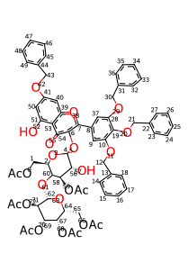 CC(=O)OC[C@H]1O[C@@H](Oc2c(-c3cc(OCc4ccccc4)c(OCc4ccccc4)c(OCc4ccccc4)c3)oc3cc(OCc4ccccc4)cc(O)c3c2=O)[C@H](O)[C@@H](OC(C)=O)C1O[C@@H]1O[C@H](COC(C)=O)[C@H](OC(C)=O)[C@H](OC(C)=O)[C@H]1OC(C)=O